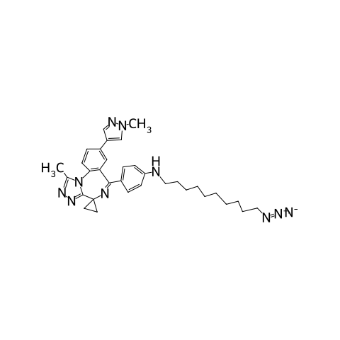 Cc1nnc2n1-c1ccc(-c3cnn(C)c3)cc1C(c1ccc(NCCCCCCCCCCN=[N+]=[N-])cc1)=NC21CC1